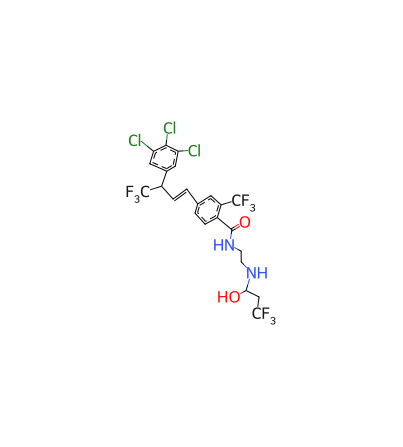 O=C(NCCNC(O)CC(F)(F)F)c1ccc(/C=C/C(c2cc(Cl)c(Cl)c(Cl)c2)C(F)(F)F)cc1C(F)(F)F